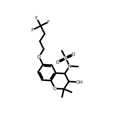 CN(C1c2cc(OCCCC(F)(F)F)ccc2OC(C)(C)C1O)S(C)(=O)=O